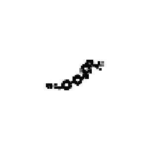 CCC(CC)n1ccc2cnc(Nc3ccc(N4CCC(CC=O)CC4)cc3)nc21